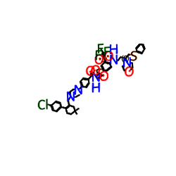 CC1(C)CCC(c2ccc(Cl)cc2)=C(CN2CCN(c3ccc(C(=O)NS(=O)(=O)c4ccc(NCC[C@@H](CSc5ccccc5)N5CCOCC5)c(S(=O)(=O)C(F)(F)F)c4)cc3)CC2)C1